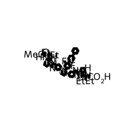 CCC(CC)C(NC(=O)O)C(=O)N1CCC[C@H]1c1nc2cc([C@@H]3CC[C@@H](c4ccc5[nH]c([C@@H]6CCCN6C(=O)C(NC(=O)OC)C(CC)CC)nc5c4)N3c3cc(F)c(N4CCC(c5ccccc5)CC4)c(F)c3)ccc2[nH]1